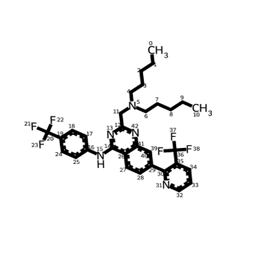 CCCCCN(CCCCC)Cc1nc(Nc2ccc(C(F)(F)F)cc2)c2ccc(-c3ncccc3C(F)(F)F)cc2n1